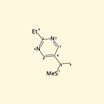 CCc1ncc(C(C)SC)cn1